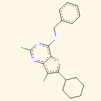 Clc1nc(NCc2ccccc2)c2sc(C3CCCCC3)c(Br)c2n1